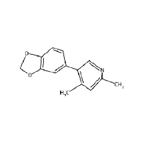 Cc1cc(C)c(-c2ccc3c(c2)OCO3)cn1